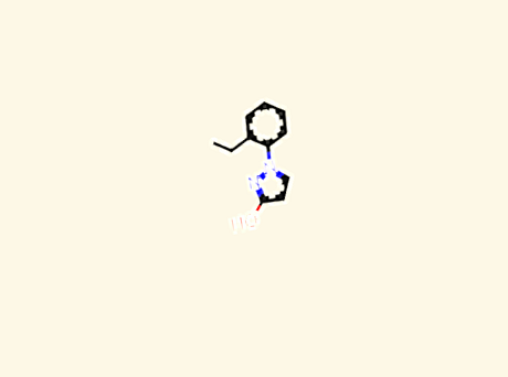 CCc1ccccc1-n1ccc(O)n1